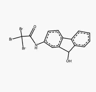 O=C(Nc1ccc2c(c1)C(O)c1ccccc1-2)C(Br)(Br)Br